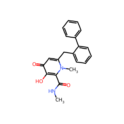 CNC(=O)c1c(O)c(=O)cc(Cc2ccccc2-c2ccccc2)n1C